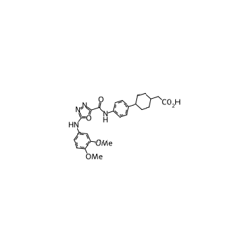 COc1ccc(Nc2nnc(C(=O)Nc3ccc(C4CCC(CC(=O)O)CC4)cc3)o2)cc1OC